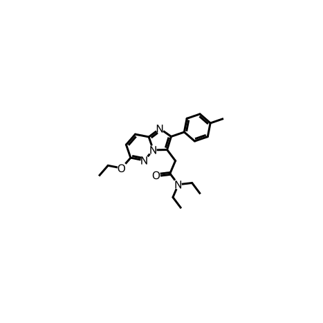 CCOc1ccc2nc(-c3ccc(C)cc3)c(CC(=O)N(CC)CC)n2n1